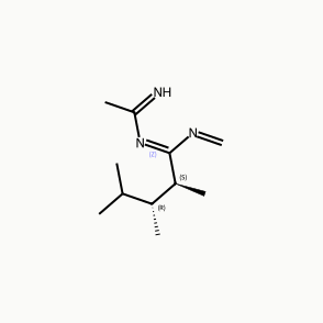 C=N/C(=N\C(C)=N)[C@@H](C)[C@H](C)C(C)C